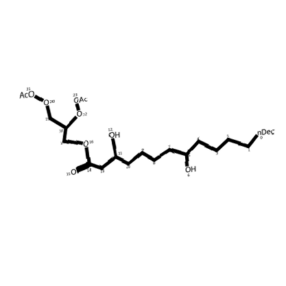 CCCCCCCCCCCCCCC(O)CCCCC(O)CC(=O)OCC(COOC(C)=O)OOC(C)=O